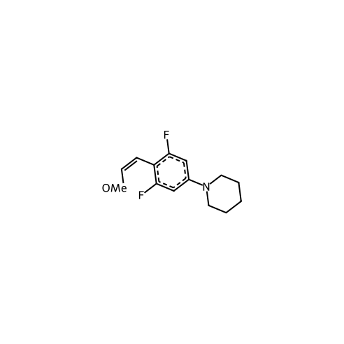 CO/C=C\c1c(F)cc(N2CCCCC2)cc1F